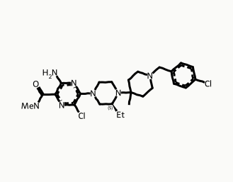 CC[C@H]1CN(c2nc(N)c(C(=O)NC)nc2Cl)CCN1C1(C)CCN(Cc2ccc(Cl)cc2)CC1